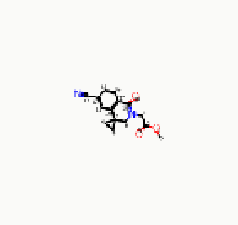 COC(=O)CN1CC2(CC2)c2cc(C#N)ccc2C1=O